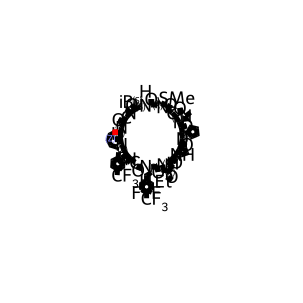 CCO[C@@H]1C[C@H]2C(=O)NC3(CCC3)C(=O)N(C)[C@@H](C3CCCC3)C(=O)N(C)[C@H](C(=O)N(C)C)CC(=O)N(C)[C@@H](CSC)C(=O)N[C@@H]([C@@H](C)CC)C(=O)N(C)CC(=O)N(C)[C@H]3C/C=C\CCN(C3=O)[C@@H](Cc3ccc(C(F)(F)F)cc3)C(=O)N(C)CC(=O)N[C@@H](CCc3cc(F)c(C(F)(F)F)c(F)c3)C(=O)N2C1